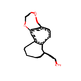 OCC1CCCc2c1ccc1c2OCO1